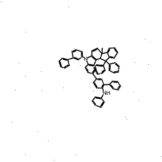 CC12C=Cc3c(c4cc(-c5ccc(Nc6ccccc6)c(-c6ccccc6)c5)ccc4n3-c3cccc(-c4ccccc4)c3)C1C(c1ccccc1)(c1ccccc1)c1ccccc12